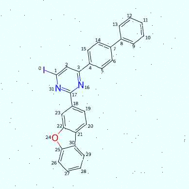 Ic1cc(-c2ccc(-c3ccccc3)cc2)nc(-c2ccc3c(c2)oc2ccccc23)n1